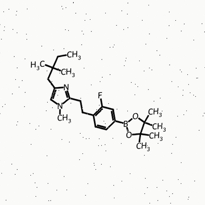 CCC(C)(C)Cc1cn(C)c(CCc2ccc(B3OC(C)(C)C(C)(C)O3)cc2F)n1